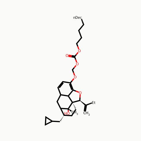 C=C(CC)[C@@H]1OC2=C(OCOC(=O)OCCCCCCCCCCCCCC)C=CC3CC4[C@@H](CC5CC5)CC[C@@]1(C23)[C@]4(C)O